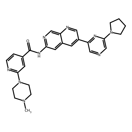 CN1CCN(c2cc(C(=O)Nc3cc4cc(-c5cncc(N6CCCC6)n5)cnc4cn3)ccn2)CC1